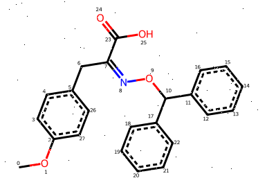 COc1ccc(CC(=NOC(c2ccccc2)c2ccccc2)C(=O)O)cc1